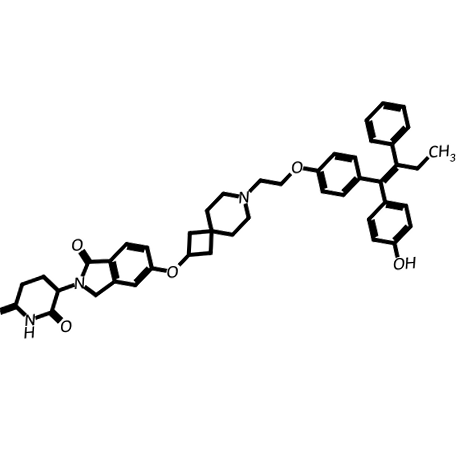 CCC(=C(c1ccc(O)cc1)c1ccc(OCCN2CCC3(CC2)CC(Oc2ccc4c(c2)CN(C2CCC(=O)NC2=O)C4=O)C3)cc1)c1ccccc1